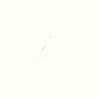 C=C/C(=C\C=C(C)C)N(C)CCC